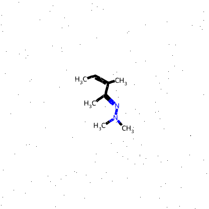 C/C=C(C)\C(C)=N\N(C)C